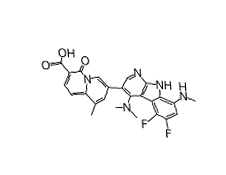 CNc1cc(F)c(F)c2c1[nH]c1ncc(-c3cc(C)c4ccc(C(=O)O)c(=O)n4c3)c(N(C)C)c12